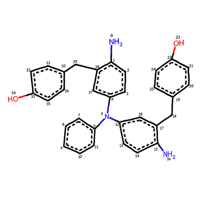 Nc1ccc(N(c2ccccc2)c2ccc(N)c(Cc3ccc(O)cc3)c2)cc1Cc1ccc(O)cc1